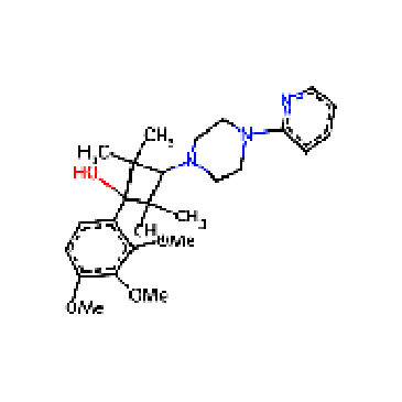 COc1ccc(C2(O)C(C)(C)C(N3CCN(c4ccccn4)CC3)C2(C)C)c(OC)c1OC